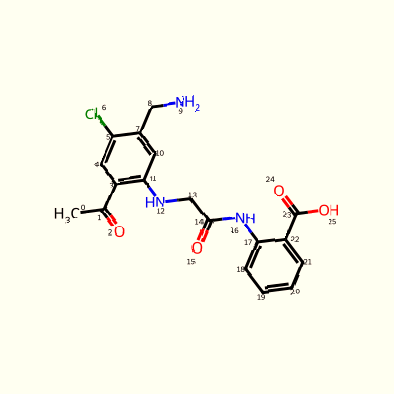 CC(=O)c1cc(Cl)c(CN)cc1NCC(=O)Nc1ccccc1C(=O)O